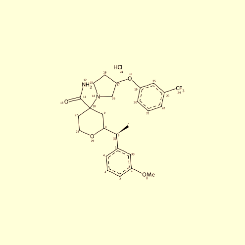 COc1cccc([C@H](C)C2CC(C(N)=O)(N3CCC(Oc4cccc(C(F)(F)F)c4)C3)CCO2)c1.Cl